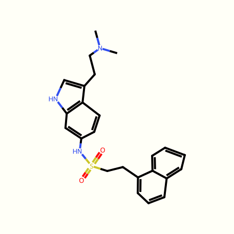 CN(C)CCc1c[nH]c2cc(NS(=O)(=O)CCc3cccc4ccccc34)ccc12